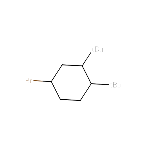 CC(C)(C)C1CCC(Br)CC1C(C)(C)C